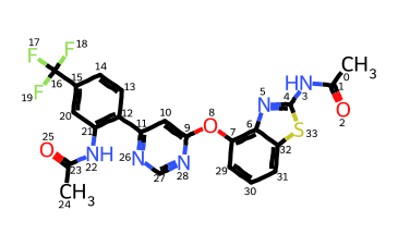 CC(=O)Nc1nc2c(Oc3cc(-c4ccc(C(F)(F)F)cc4NC(C)=O)ncn3)cccc2s1